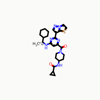 C[C@@H](Nc1cc(C(=O)N2CCC(NC(=O)C3CC3)CC2)nc(-c2cnn3ccsc23)n1)C1CCCCC1